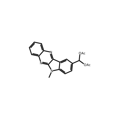 CC(=O)OC(OC(C)=O)c1ccc2c(c1)c1nc3ccccc3nc1n2C